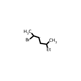 CCC(C)C[CH]C(C)Br